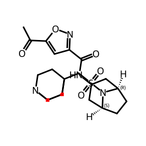 CC(=O)c1cc(C(=O)NC2C[C@H]3CC[C@@H](C2)N3S(=O)(=O)CC23CCN(CC2)CC3)no1